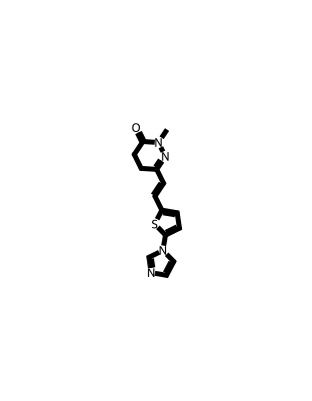 CN1N=C(C=Cc2ccc(-n3ccnc3)s2)CCC1=O